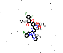 CNC(=O)c1c(-c2ccc(F)cc2F)oc2cc(N(C)S(C)(=O)=O)c(-c3ccc4nc(CN5CCC[C@H]5C(F)(F)F)n5c6cccc(F)c6cc5c4n3)cc12